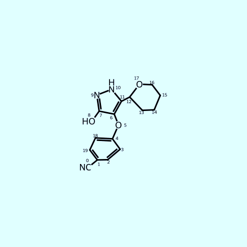 N#Cc1ccc(Oc2c(O)n[nH]c2C2CCCCO2)cc1